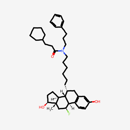 C[C@]12C[C@H](F)[C@@H]3c4ccc(O)cc4C[C@@H](CCCCCCN(CCCc4ccccc4)C(=O)CCC4CCCCC4)[C@H]3[C@@H]1CC[C@@H]2O